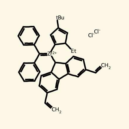 C=Cc1ccc2c(c1)-c1cc(C=C)ccc1[CH]2[Zr+2]([C]1=CC(C(C)(C)C)=CC1CC)=[C](c1ccccc1)c1ccccc1.[Cl-].[Cl-]